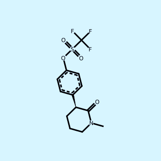 CN1CCC[C@@H](c2ccc(OS(=O)(=O)C(F)(F)F)cc2)C1=O